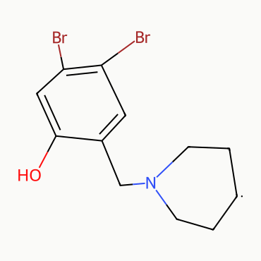 Oc1cc(Br)c(Br)cc1CN1CC[CH]CC1